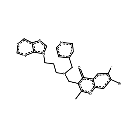 Cc1oc2cc(Br)c(F)cc2c(=O)c1CN(CCCn1cnc2cncnc21)Cc1ccncc1